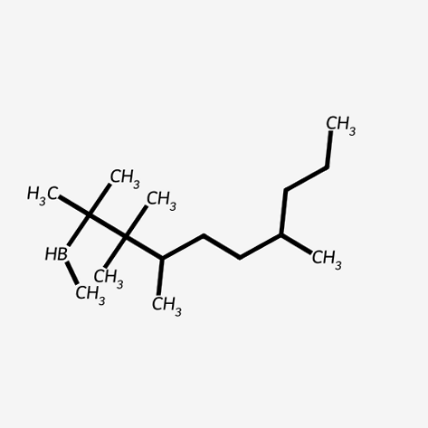 CBC(C)(C)C(C)(C)C(C)CCC(C)CCC